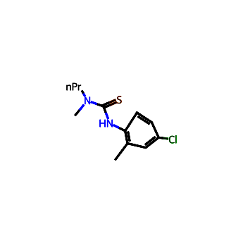 CCCN(C)C(=S)Nc1ccc(Cl)cc1C